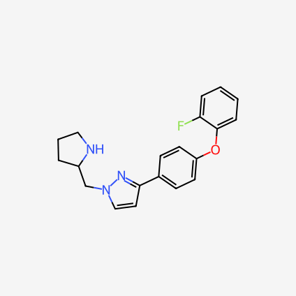 Fc1ccccc1Oc1ccc(-c2ccn(CC3CCCN3)n2)cc1